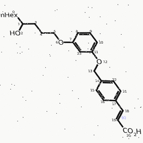 CCCCCCC(O)CCCOc1cccc(OCc2ccc(/C=C/C(=O)O)cc2)c1